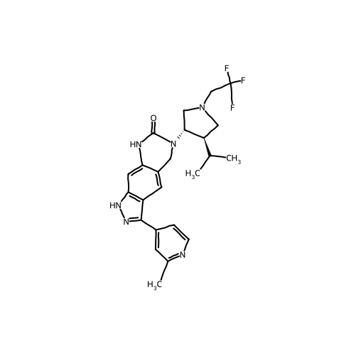 Cc1cc(-c2n[nH]c3cc4c(cc23)CN([C@@H]2CN(CC(F)(F)F)C[C@H]2C(C)C)C(=O)N4)ccn1